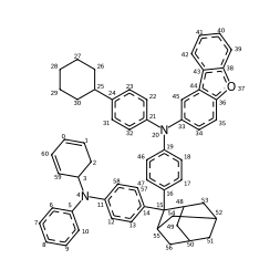 C1=CCC(N(c2ccccc2)c2ccc(C3(c4ccc(N(c5ccc(C6CCCCC6)cc5)c5ccc6oc7ccccc7c6c5)cc4)C4CC5CC(C4)CC3C5)cc2)C=C1